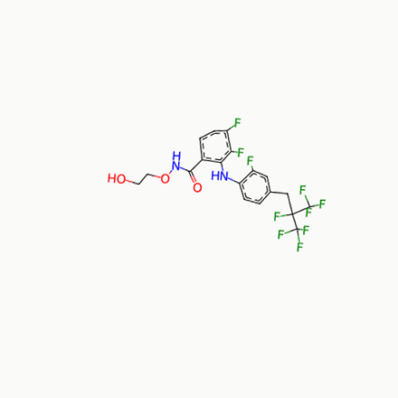 O=C(NOCCO)c1ccc(F)c(F)c1Nc1ccc(CC(F)(C(F)(F)F)C(F)(F)F)cc1F